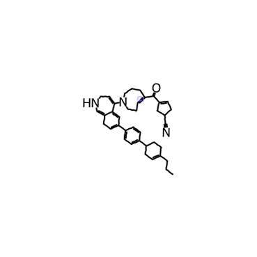 CCCC1=CCC(c2ccc(C3=CCC4=CNCC=C(N5CC/C=C(\C(=O)C6=CCC(C#N)C6)CCC5)C4=C3)cc2)CC1